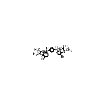 CC(C)[C@@H](C)Oc1nc(Nc2ccc(Nc3ncc(Br)c(O[C@H](C)C(C)O)n3)cc2)ncc1Br